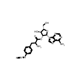 [N-]=[N+]=Nc1ccc(CC(N)C(=O)O[C@@H]2[C@@H](O)[C@H](CO)O[C@@H]2n2cnc3c(N)ncnc32)cc1